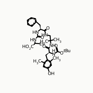 CCC(NC(=O)N[C@@H](Cc1ccccc1)C(=O)NCC(C)(C)NC(=O)[C@H](Cc1c(C)cc(O)cc1C)NC(=O)OC(C)(C)C)C(=O)O